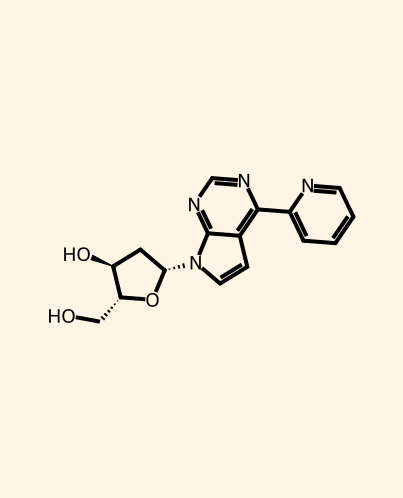 OC[C@H]1O[C@@H](n2ccc3c(-c4ccccn4)ncnc32)C[C@@H]1O